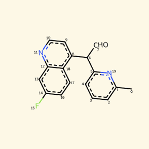 Cc1cccc(C(C=O)c2ccnc3cc(F)ccc23)n1